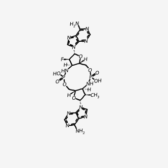 C[C@@H]1[C@@H]2NP(=O)(O)OC[C@H]3O[C@@H](n4cnc5c(N)ncnc54)[C@H](F)[C@@H]3NP(=O)(O)OC[C@H]2O[C@H]1n1cnc2c(N)ncnc21